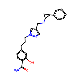 NC(=O)c1ccc(CCCn2cc(CNC3CC3c3ccccc3)cn2)cc1O